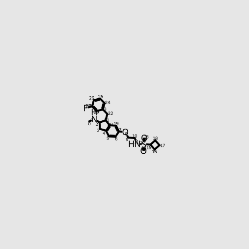 CNC1Cc2ccc(OCCNS(=O)(=O)C3CCC3)cc2C1Cc1cccc(F)c1